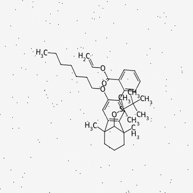 C=COC(=O)c1ccccc1-c1cc2c(cc1OCCCCCCC)C1(C)CCCC2(C)C1O[Si](C)(C)C(C)(C)C